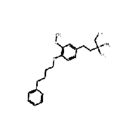 COc1cc(CC[C@@](C)(N)CO)ccc1OCCCCc1ccccc1